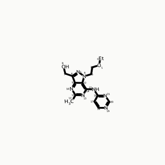 CCOCCn1nc(CO)c2nc(C)nc(Nc3ccncn3)c21